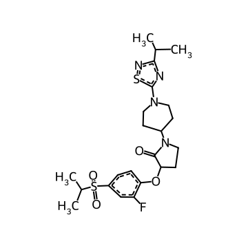 CC(C)c1nsc(N2CCC(N3CCC(Oc4ccc(S(=O)(=O)C(C)C)cc4F)C3=O)CC2)n1